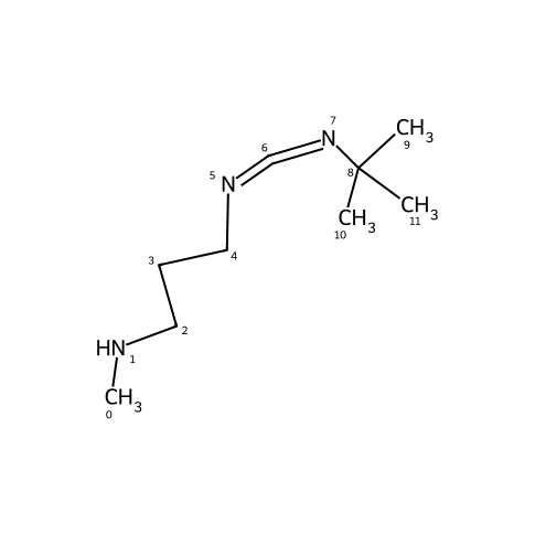 CNCCCN=C=NC(C)(C)C